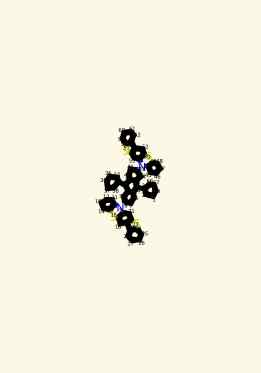 c1ccc(-c2c3ccc(N4c5ccccc5Sc5cc6c(cc54)sc4ccccc46)cc3c(-c3ccccc3)c3ccc(N4c5ccccc5Sc5cc6c(cc54)sc4ccccc46)cc23)cc1